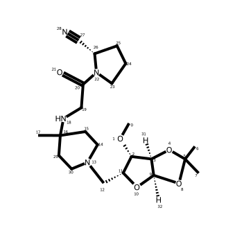 CO[C@@H]1[C@H]2OC(C)(C)O[C@H]2O[C@@H]1CN1CCC(C)(NCC(=O)N2CCC[C@H]2C#N)CC1